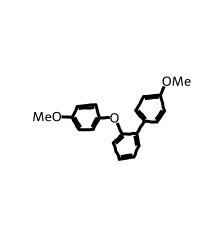 COc1ccc(Oc2ccccc2-c2ccc(OC)cc2)cc1